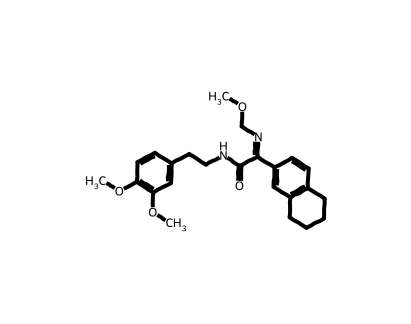 COC/N=C(\C(=O)NCCc1ccc(OC)c(OC)c1)c1ccc2c(c1)CCCC2